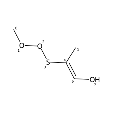 COOS/C(C)=C/O